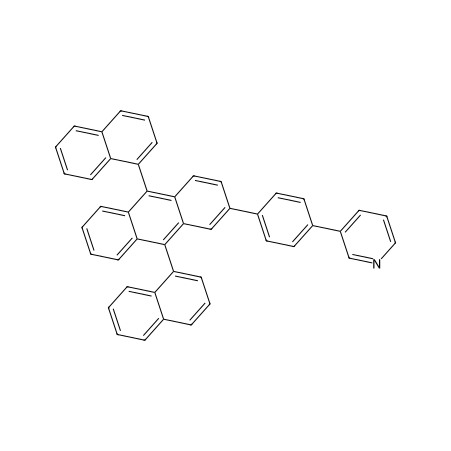 c1cncc(-c2ccc(-c3ccc4c(-c5cccc6ccccc56)c5ccccc5c(-c5cccc6ccccc56)c4c3)cc2)c1